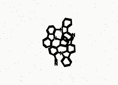 N#Cc1ccc2c3ccccc3n(-c3c(C#N)cccc3-c3ccccc3-n3c4ccccc4c4cccc(-n5c6ccccc6c6ccccc65)c43)c2c1